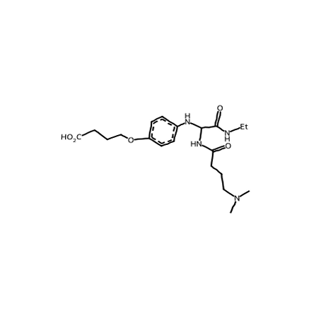 CCNC(=O)C(NC(=O)CCCN(C)C)Nc1ccc(OCCCC(=O)O)cc1